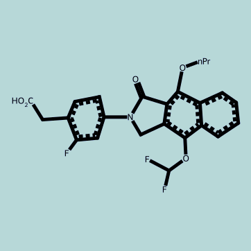 CCCOc1c2c(c(OC(F)F)c3ccccc13)CN(c1ccc(CC(=O)O)c(F)c1)C2=O